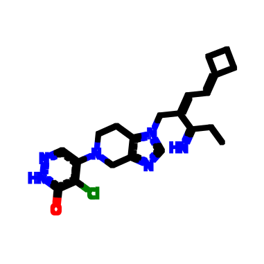 CCC(=N)/C(=C\C=C1CCC1)Cn1cnc2c1CCN(c1cn[nH]c(=O)c1Cl)C2